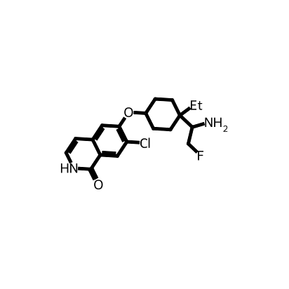 CCC1(C(N)CF)CCC(Oc2cc3cc[nH]c(=O)c3cc2Cl)CC1